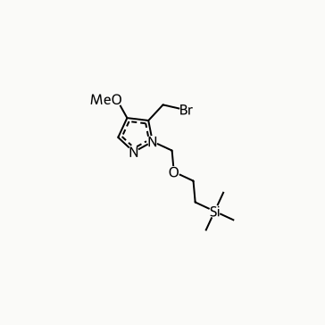 COc1cnn(COCC[Si](C)(C)C)c1CBr